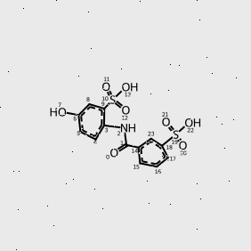 O=C(Nc1ccc(O)cc1S(=O)(=O)O)c1cc[c]c(S(=O)(=O)O)c1